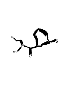 CCCN(CC(C)(C)C)C(=O)c1cccc(Cl)c1